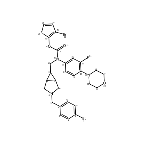 CCc1ccc(CN2CC3C(C2)C3CN(C(=O)Oc2sccc2Br)c2ccc(N3CCOCC3)c(F)c2)cc1